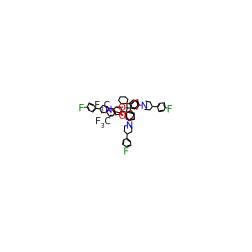 O=C(OC(C1(c2ccc(N3CCC(c4ccc(F)cc4)CC3)cc2)CCCCC1)(C1(c2ccc(N3CCC(c4ccc(F)cc4)CC3)cc2)CCCCC1)C1(c2ccc(N3CCC(c4ccc(F)cc4)CC3)cc2)CCCCC1)c1cc(C(F)(F)F)cc(C(F)(F)F)c1